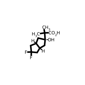 CC(C)(C(=O)O)[C@]1(O)C[C@H]2CC(F)(F)C[C@H]2C1